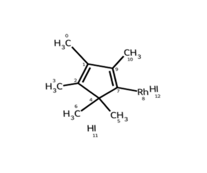 CC1=C(C)C(C)(C)[C]([Rh])=C1C.I.I